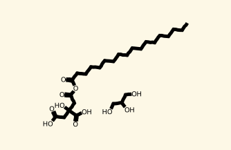 CCCCCCCCCCCCCCCCCC(=O)OC(=O)CC(O)(CC(=O)O)C(=O)O.OCC(O)CO